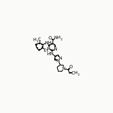 C=CC(=O)N1CCCC(n2cc(Nc3ncc(C(N)=O)c(Nc4c(C)cccc4CC)n3)cn2)C1